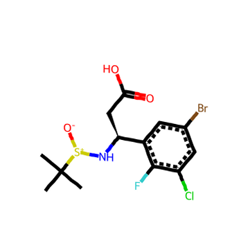 CC(C)(C)[S+]([O-])N[C@@H](CC(=O)O)c1cc(Br)cc(Cl)c1F